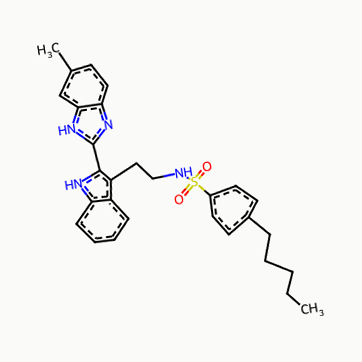 CCCCCc1ccc(S(=O)(=O)NCCc2c(-c3nc4ccc(C)cc4[nH]3)[nH]c3ccccc23)cc1